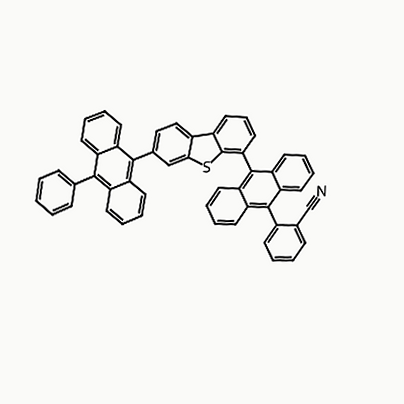 N#Cc1ccccc1-c1c2ccccc2c(-c2cccc3c2sc2cc(-c4c5ccccc5c(-c5ccccc5)c5ccccc45)ccc23)c2ccccc12